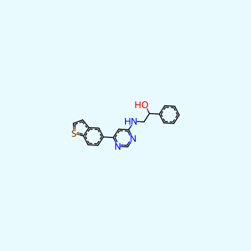 OC(CNc1cc(-c2ccc3sccc3c2)ncn1)c1ccccc1